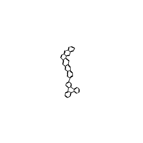 c1ccc2cc3c(ccc4cc5cc6cc(-c7ccc8c9ccccc9c9ccccc9c8c7)ccc6cc5cc43)cc2c1